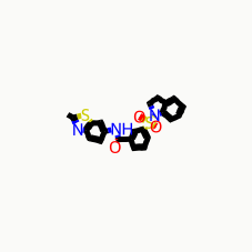 Cc1nc2ccc(NC(=O)c3cccc(S(=O)(=O)N4CCc5ccccc54)c3)cc2s1